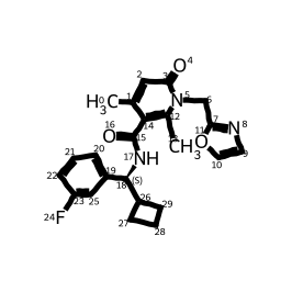 Cc1cc(=O)n(Cc2ncco2)c(C)c1C(=O)N[C@H](c1cccc(F)c1)C1CCC1